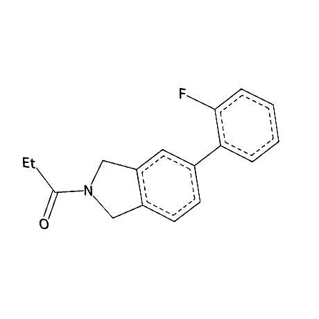 CCC(=O)N1Cc2ccc(-c3ccccc3F)cc2C1